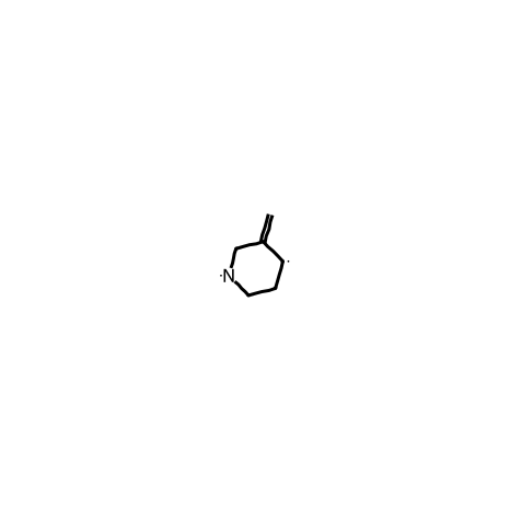 C=C1[CH]CC[N]C1